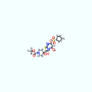 Cc1ccc(S(=O)(=O)Oc2cc(=O)n3cc(C4(O)CCN(C(=O)OC(C)(C)C)CC4)sc3n2)cc1